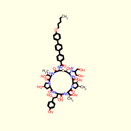 CCCCCOc1ccc(-c2ccc(-c3ccc(C(=O)N[C@H]4C[C@@H](O)C(NC(CO)CO)NC(=O)C5[C@@H](O)[C@@H](C)CN5C(=O)C([C@@H](C)O)NC(=O)C([C@H](O)[C@@H](O)c5ccc(O)cc5)NC(=O)C5C[C@@H](O)CN5C(=O)C([C@@H](C)O)NC4=O)cc3)cc2)cc1